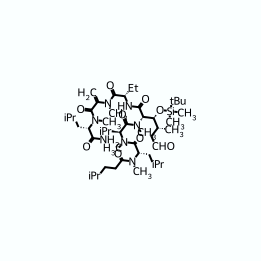 C=C(C(=O)N(C)[C@@H](CC(C)C)C(N)=O)N(C)C(=O)[C@H](CC)NC(=O)[C@H]([C@H](O[Si](C)(C)C(C)(C)C)[C@H](C)CC=O)N(C)C(=O)[C@H](C(C)C)N(C)C(=O)[C@H](CC(C)C)N(C)C(=O)CCC(C)C